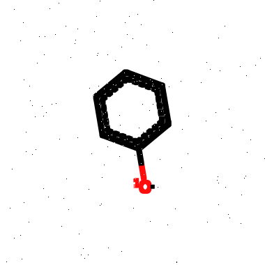 [1O]c1ccccc1